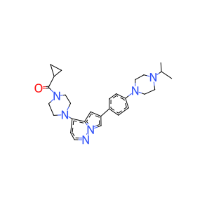 CC(C)N1CCN(c2ccc(-c3cc4c(N5CCN(C(=O)C6CC6)CC5)ccnn4c3)cc2)CC1